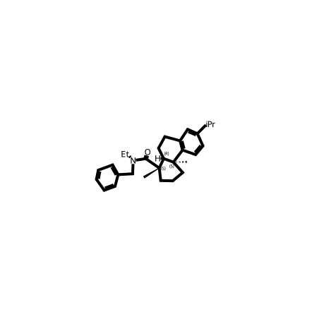 CCN(Cc1ccccc1)C(=O)[C@@]1(C)CCC[C@]2(C)c3ccc(C(C)C)cc3CC[C@@H]12